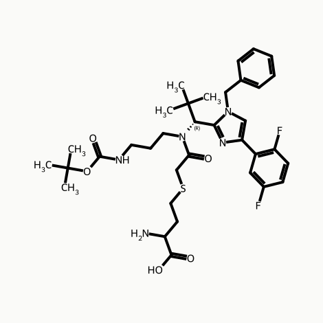 CC(C)(C)OC(=O)NCCCN(C(=O)CSCCC(N)C(=O)O)[C@@H](c1nc(-c2cc(F)ccc2F)cn1Cc1ccccc1)C(C)(C)C